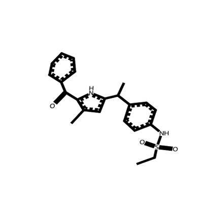 CCS(=O)(=O)Nc1ccc(C(C)c2cc(C)c(C(=O)c3ccccc3)[nH]2)cc1